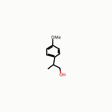 COc1ccc(C(C)CO)cc1